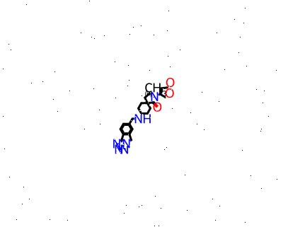 C[C@@H]1CC2(CCC(NCc3ccc4c(c3)Cn3nnnc3-4)CC2)C(=O)N1C1=CC(=O)OC1